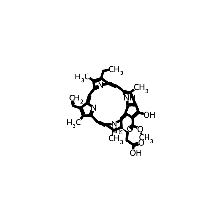 C=CC1=C(C)c2cc3[nH]c(c4c5[nH]c(cc6nc(cc1n2)C(C)=C6CC)c(C)c5C(O)=C4C(=O)OC)[C@@H](CCC(=O)O)[C@@H]3C